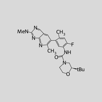 CNc1ncc2cc(-c3cc(NC(=O)N4CCO[C@H](C(C)(C)C)C4)c(F)cc3C)c(C)nc2n1